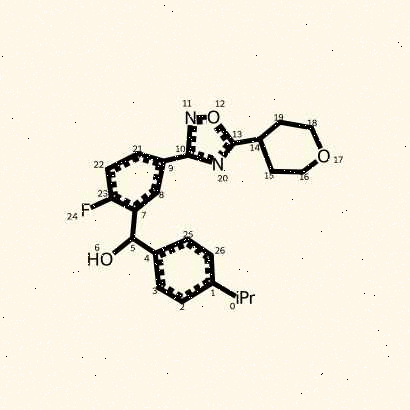 CC(C)c1ccc(C(O)c2cc(-c3noc(C4CCOCC4)n3)ccc2F)cc1